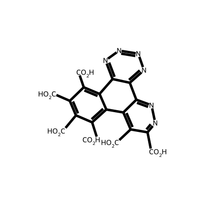 O=C(O)c1nnc2c3nnnnc3c3c(C(=O)O)c(C(=O)O)c(C(=O)O)c(C(=O)O)c3c2c1C(=O)O